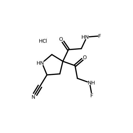 Cl.N#CC1CC(C(=O)CNF)(C(=O)CNF)CN1